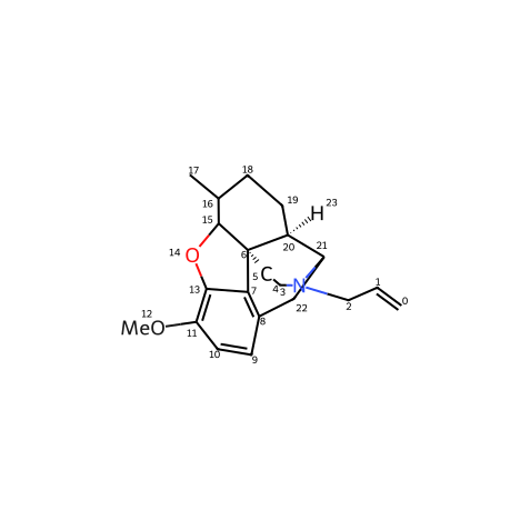 C=CCN1CC[C@]23c4c5ccc(OC)c4OC2C(C)CC[C@H]3C1C5